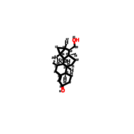 C[C@@H]1CC2=CC(=O)CC[C@@H]2[C@H]2CC[C@@]3(C)[C@H]([C@@H]4C[C@@H]4[C@H]3CO)[C@@H]21